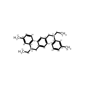 CCN(Cc1ccc(CN(CC)c2cccc(C)c2)cc1)c1cccc(C)c1